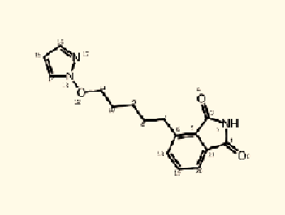 O=C1NC(=O)c2c(CCCCCOn3cccn3)cccc21